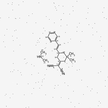 CC1(C)CC(=C(C#N)C#N)CC(C=Cc2ccccc2)C1.CNC